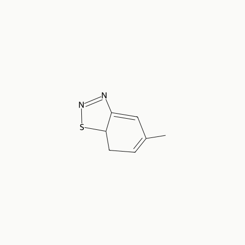 CC1=CCC2SN=NC2=C1